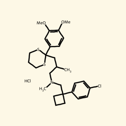 COc1ccc(C2(CC(C)CN(C)CC3(c4ccc(Cl)cc4)CCC3)SCCCS2)cc1OC.Cl